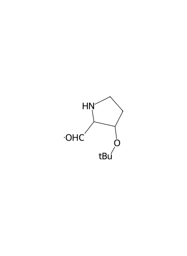 CC(C)(C)OC1CCNC1[C]=O